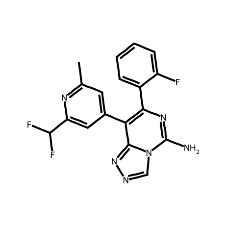 Cc1cc(-c2c(-c3ccccc3F)nc(N)n3cnnc23)cc(C(F)F)n1